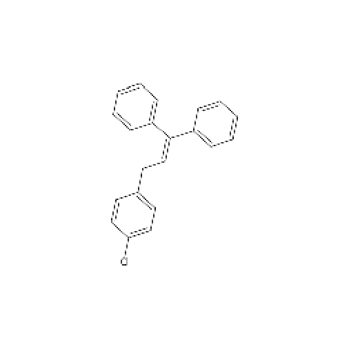 Clc1ccc(CC=C(c2ccccc2)c2ccccc2)cc1